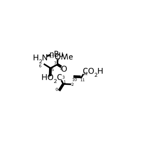 C=C(C)C(=O)O.C=C(C)C(=O)OC.C=CC(=O)O.CCCCN